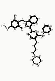 CCOc1cc(F)c(Cn2nc(-c3ncc(CCCCN4CCOCC4)c(Nc4ccncc4)n3)c3ccccc32)c(F)c1